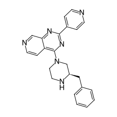 c1ccc(C[C@@H]2CN(c3nc(-c4ccncc4)nc4cnccc34)CCN2)cc1